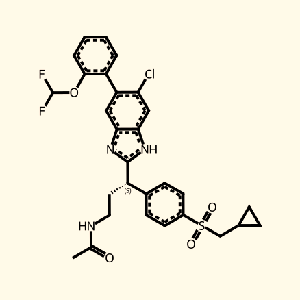 CC(=O)NCC[C@@H](c1ccc(S(=O)(=O)CC2CC2)cc1)c1nc2cc(-c3ccccc3OC(F)F)c(Cl)cc2[nH]1